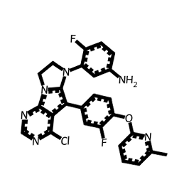 Cc1cccc(Oc2ccc(-c3c4n(c5ncnc(Cl)c35)CCN4c3cc(N)ccc3F)cc2F)n1